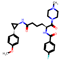 COc1ccc([C@@H]2C[C@H]2NC(=O)CCC[C@H](NC(=O)c2ccc(F)cc2)C(=O)N2CCN(C)CC2)cc1